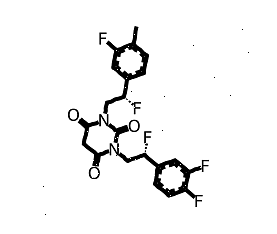 Cc1ccc([C@H](F)CN2C(=O)CC(=O)N(C[C@H](F)c3ccc(F)c(F)c3)C2=O)cc1F